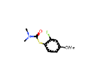 COc1ccc(SC(=O)N(C)C)c(F)c1